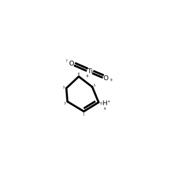 C1=CCCCC1.[H+].[O]=[Ti]=[O]